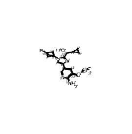 Nc1ncc(-c2cn(C34CC(F)(C3)C4)c([C@H](O)C3CC3)n2)cc1OC(F)(F)F